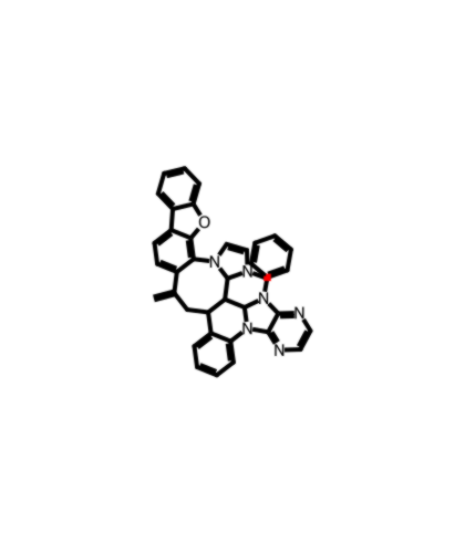 C=C1CC2c3ccccc3N3c4nccnc4N(c4ccccc4)C3C2C2N(C)C=CN2c2c1ccc1c2oc2ccccc21